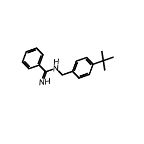 CC(C)(C)c1ccc(CNC(=N)c2ccccc2)cc1